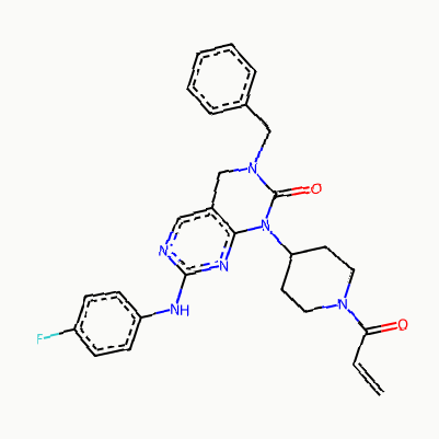 C=CC(=O)N1CCC(N2C(=O)N(Cc3ccccc3)Cc3cnc(Nc4ccc(F)cc4)nc32)CC1